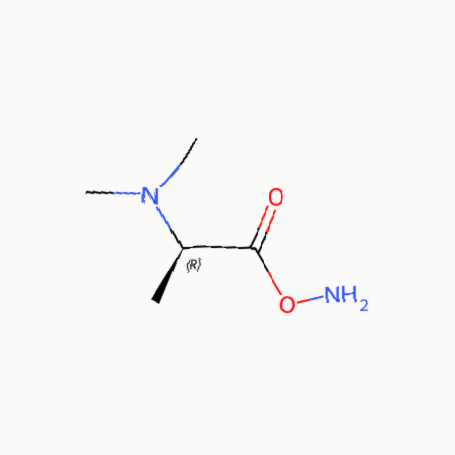 C[C@H](C(=O)ON)N(C)C